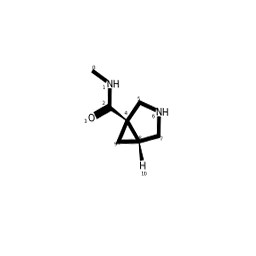 CNC(=O)[C@@]12CNC[C@@H]1C2